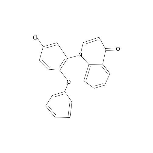 O=c1ccn(-c2cc(Cl)ccc2Oc2ccccc2)c2ccccc12